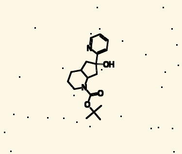 CC(C)(C)OC(=O)N1CCCC2CC(O)(c3ccccn3)CC21